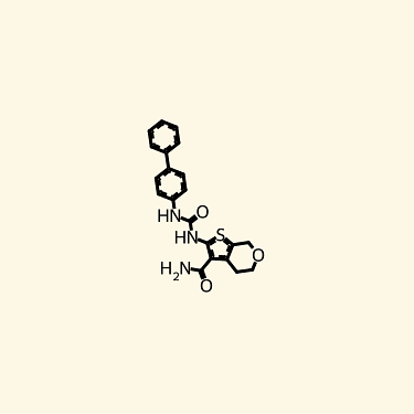 NC(=O)c1c(NC(=O)Nc2ccc(-c3ccccc3)cc2)sc2c1CCOC2